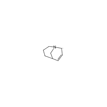 [CH]1C=CC2CCCN1C2